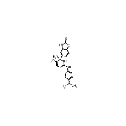 CC1=CN=C(Nc2ccc(N(C)C)nc2)NC1(N)c1ccc2oc(=O)[nH]c2c1